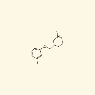 Cc1cccc(OCC2CCCN(C)C2)c1